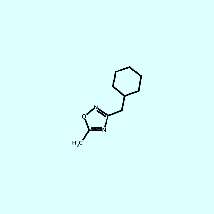 Cc1nc(CC2CCCCC2)no1